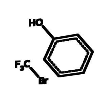 FC(F)(F)Br.Oc1ccccc1